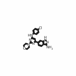 Nc1n[nH]c2cc(-c3cc(Nc4ccc(Cl)cc4)nc(N4CCOCC4)n3)ccc12